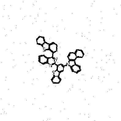 c1ccc2c(c1)ccc1c2c2ccccc2n1-c1cc(-c2nc(-c3cccc4c3sc3ccccc34)c3ccccc3n2)c2sc3ccccc3c2c1